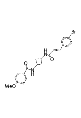 COc1ccc(C(=O)NC2CC(NC(=O)/C=C/c3ccc(Br)cc3)C2)cc1